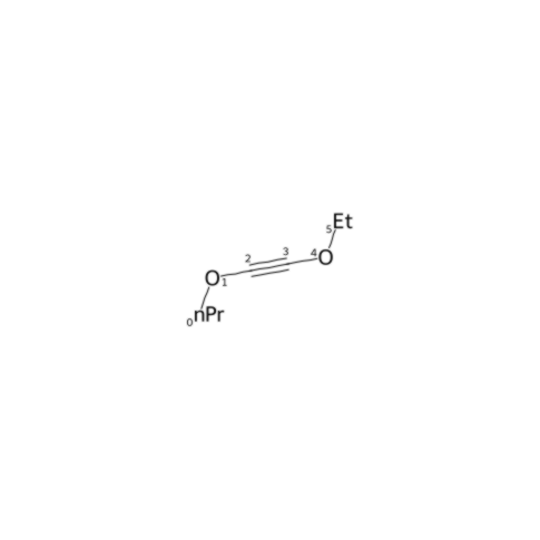 CCCOC#COCC